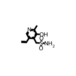 C=Cc1cnc(C)c(O)c1CS(N)(=O)=O